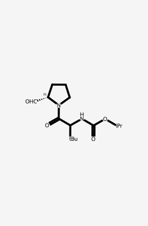 CC(C)OC(=O)NC(C(=O)N1CCC[C@H]1C=O)C(C)(C)C